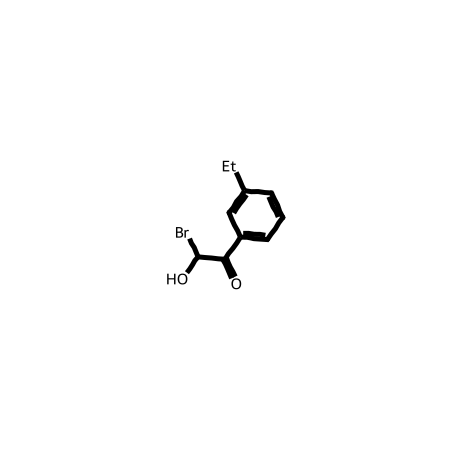 CCc1cccc(C(=O)C(O)Br)c1